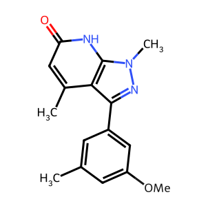 COc1cc(C)cc(-c2nn(C)c3[nH]c(=O)cc(C)c23)c1